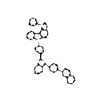 c1ccc(-n2ccc3ccc4c(c5ccccc5n4-c4ccc(-c5nc(-c6ccc(-c7ccc8ccccc8c7)cc6)c6ccccc6n5)cc4)c32)cc1